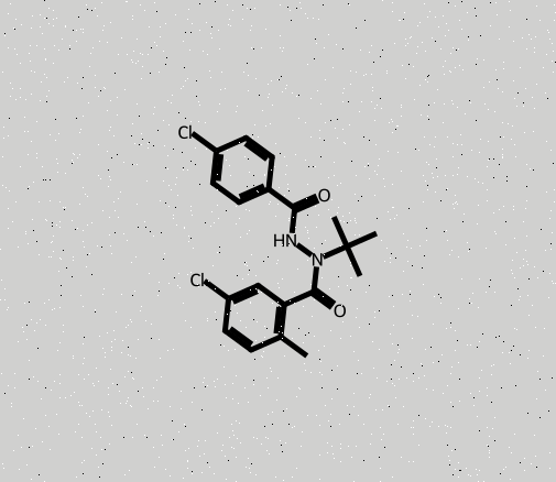 Cc1ccc(Cl)cc1C(=O)N(NC(=O)c1ccc(Cl)cc1)C(C)(C)C